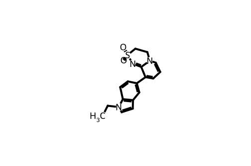 CCn1ccc2cc(C3=CC=CN4CCS(=O)(=O)N=C34)ccc21